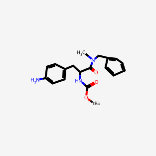 CN(Cc1ccccc1)C(=O)C(Cc1ccc(N)cc1)NC(=O)OC(C)(C)C